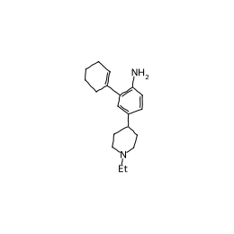 CCN1CCC(c2ccc(N)c(C3=CCCCC3)c2)CC1